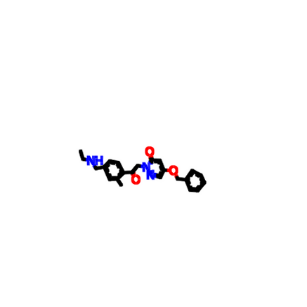 CCNCc1ccc(C(=O)Cn2ncc(OCc3ccccc3)cc2=O)c(C)c1